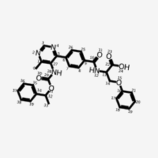 Cc1ncnc(-c2ccc(C(=O)NC(COc3ccccc3)C(=O)O)cc2)c1NC(=O)OC(C)c1ccccc1